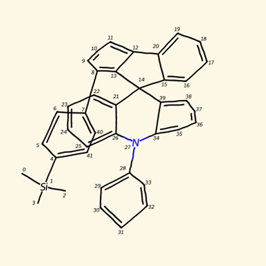 C[Si](C)(C)c1ccc(-c2cccc3c2C2(c4ccccc4-3)c3ccccc3N(c3ccccc3)c3ccccc32)cc1